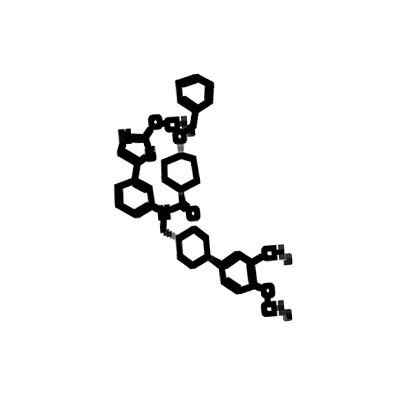 COc1ncc(-c2cccc(N(C[C@H]3CC[C@H](c4ccc(OC)c(C)c4)CC3)C(=O)[C@H]3CC[C@H](OCc4ccccc4)CC3)c2)s1